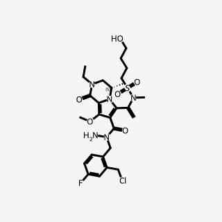 C=C(c1c(C(=O)N(N)Cc2ccc(F)cc2CCl)c(OC)c2n1[C@@H](C)CN(CC)C2=O)N(C)S(=O)(=O)CCCCO